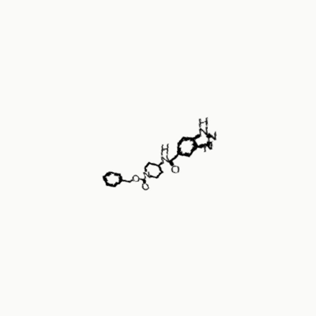 O=C(NC1CCN(C(=O)OCc2ccccc2)CC1)c1ccc2[nH]nnc2c1